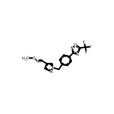 CO/N=C/c1cnn(Cc2ccc(-c3noc(C(F)(F)F)n3)cc2)c1